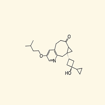 CC(C)CCOc1cnc2c(c1)CCC(=O)C1CC1([C@H]1C[C@@](O)(C3CC3)C1)C2